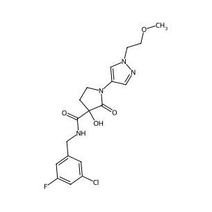 COCCn1cc(N2CCC(O)(C(=O)NCc3cc(F)cc(Cl)c3)C2=O)cn1